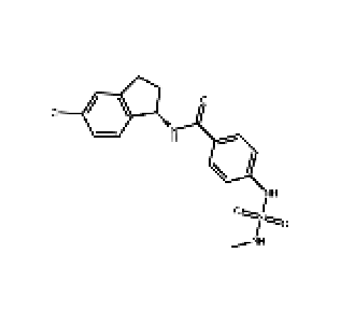 CNS(=O)(=O)Nc1ccc(C(=O)N[C@@H]2CCc3cc(Cl)ccc32)cc1